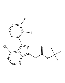 CC(C)(C)OC(=O)Cn1cc(-c2cccc(Cl)c2Cl)c2c(Cl)ncnc21